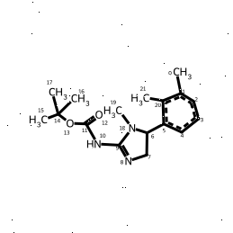 Cc1cccc(C2CN=C(NC(=O)OC(C)(C)C)N2C)c1C